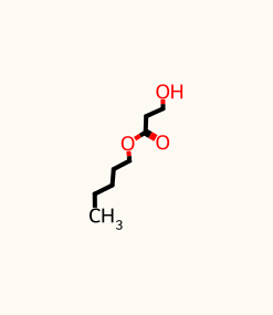 CCCCCOC(=O)CCO